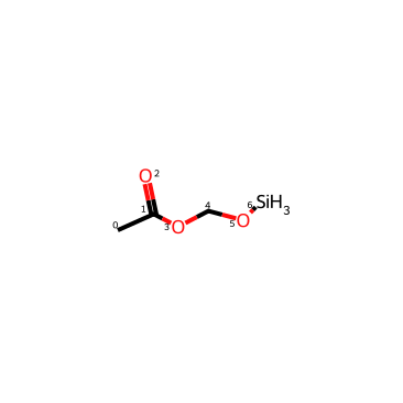 CC(=O)OCO[SiH3]